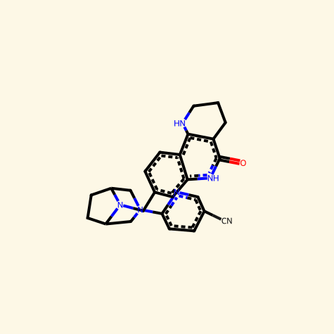 N#Cc1ccc(N2CC3CCC(C2)N3Cc2ccc3c4c(c(=O)[nH]c3c2)CCCN4)nc1